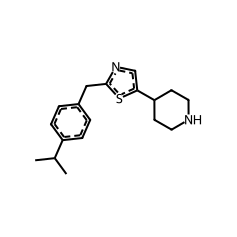 CC(C)c1ccc(Cc2ncc(C3CCNCC3)s2)cc1